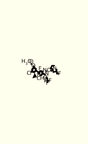 COCOc1cc(Cl)c([C@H]2C[C@H]2C)c(-c2ncc3c(OCC(F)(F)F)nc(OCC45CCCN4C/C(=C\F)C5)nc3c2F)c1